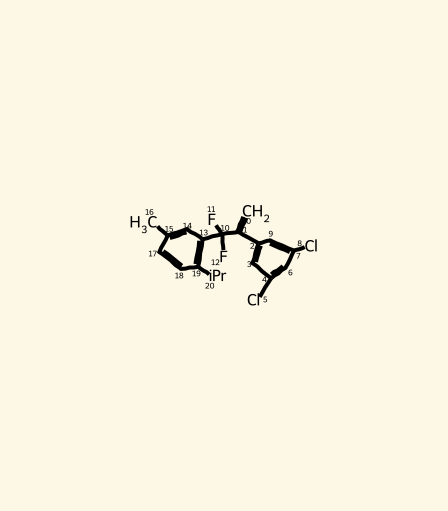 C=C(c1cc(Cl)cc(Cl)c1)C(F)(F)c1cc(C)ccc1C(C)C